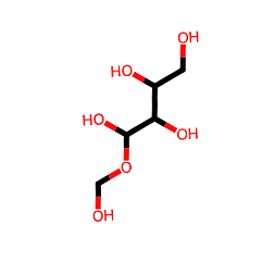 OCOC(O)C(O)C(O)CO